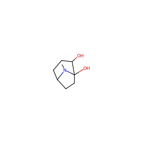 CN1C2CCC(O)C1(O)CC2